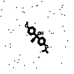 C#CC(O)(c1ccc(OC)cc1)c1ccc(OC(C)C)cc1